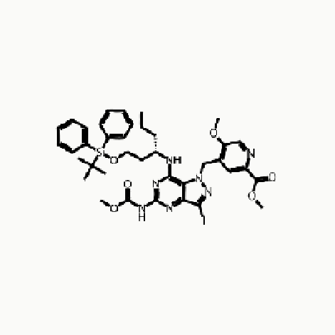 CCC[C@@H](CCO[Si](c1ccccc1)(c1ccccc1)C(C)(C)C)Nc1nc(NC(=O)OC)nc2c(I)nn(Cc3cc(C(=O)OC)ncc3OC)c12